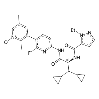 CCn1nccc1C(=O)N[C@H](C(=O)Nc1ccc(-c2cc(C)c[n+]([O-])c2C)c(F)n1)C(C1CC1)C1CC1